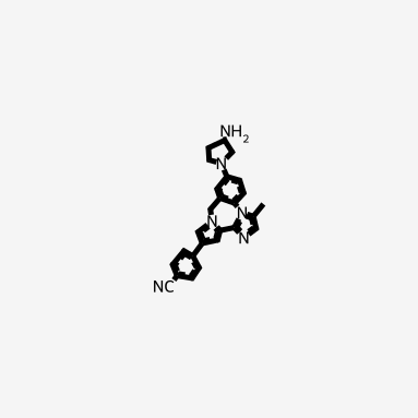 Cc1cnc2n1-c1ccc(N3CC[C@@H](N)C3)cc1Cn1cc(-c3ccc(C#N)cc3)cc1-2